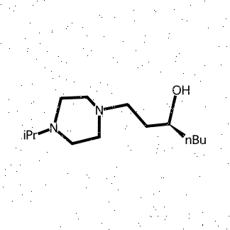 CCCC[C@H](O)CCN1CCN(C(C)C)CC1